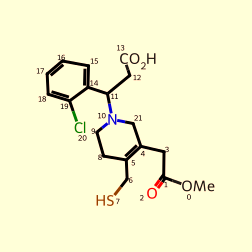 COC(=O)CC1=C(CS)CCN(C(CC(=O)O)c2ccccc2Cl)C1